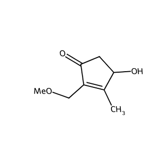 COCC1=C(C)C(O)CC1=O